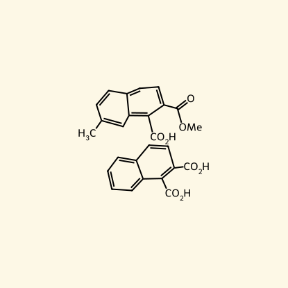 COC(=O)c1ccc2ccc(C)cc2c1C(=O)O.O=C(O)c1ccc2ccccc2c1C(=O)O